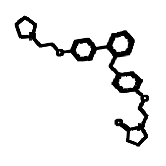 O=C1CCCN1CCOc1ccc(Cc2ccccc2-c2ccc(OCCN3CCCC3)cc2)cc1